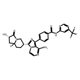 Nc1nccn2c([C@@H]3CC[C@@H]4C[C@H](O)C(=O)N4C3)nc(-c3ccc(C(=O)Nc4cc(C(F)(F)F)ccn4)cc3)c12